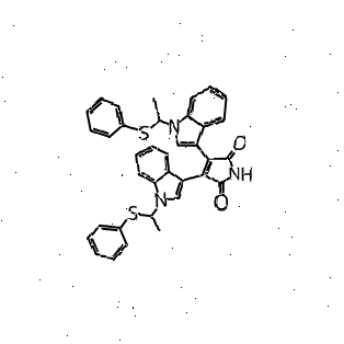 CC(Sc1ccccc1)n1cc(C2=C(c3cn(C(C)Sc4ccccc4)c4ccccc34)C(=O)NC2=O)c2ccccc21